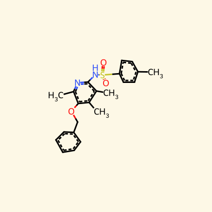 Cc1ccc(S(=O)(=O)Nc2nc(C)c(OCc3ccccc3)c(C)c2C)cc1